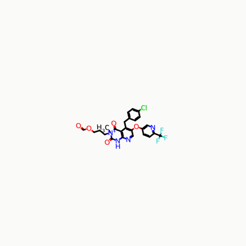 C[N+]1(CCCOC=O)C(=O)Nc2ncc(Oc3ccc(C(F)(F)F)nc3)c(Cc3ccc(Cl)cc3)c2C1=O